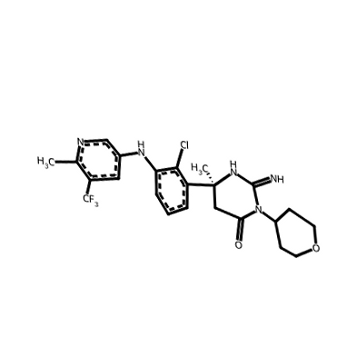 Cc1ncc(Nc2cccc([C@]3(C)CC(=O)N(C4CCOCC4)C(=N)N3)c2Cl)cc1C(F)(F)F